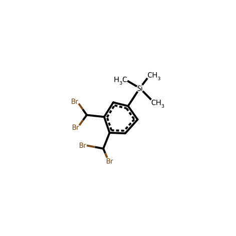 C[Si](C)(C)c1ccc(C(Br)Br)c(C(Br)Br)c1